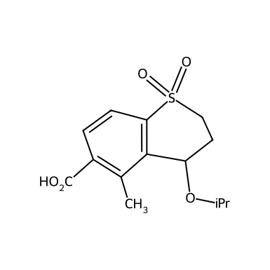 Cc1c(C(=O)O)ccc2c1C(OC(C)C)CCS2(=O)=O